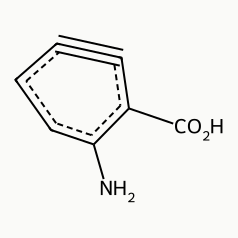 Nc1ccc#cc1C(=O)O